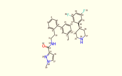 Cc1cc(-c2ccccc2CCNC(=O)c2ccn(C)n2)ccc1[C@H]1CNCC[C@@H]1c1cc(F)cc(F)c1